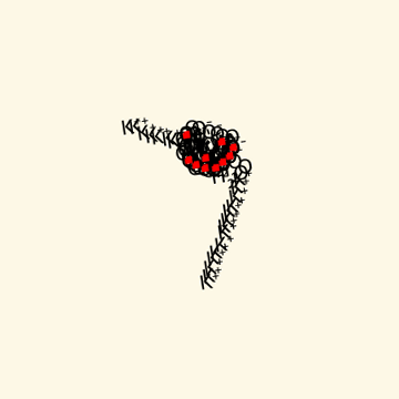 O.O.O.[K+].[K+].[K+].[K+].[K+].[K+].[K+].[K+].[K+].[K+].[K+].[K+].[K+].[K+].[K+].[K+].[K+].[K+].[K+].[K+].[K+].[O]=[W](=[O])([O-])[Co-9]([W](=[O])(=[O])[O-])([W](=[O])(=[O])[O-])([W](=[O])(=[O])[O-])([W](=[O])(=[O])[O-])([W](=[O])(=[O])[O-])([W](=[O])(=[O])[O-])([W](=[O])(=[O])[O-])([W](=[O])(=[O])[O-])([W](=[O])(=[O])[O-])([W](=[O])(=[O])[O-])[W](=[O])(=[O])[O-]